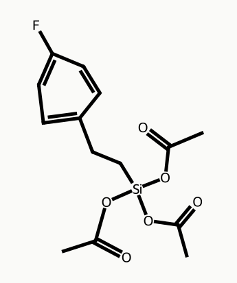 CC(=O)O[Si](CCc1ccc(F)cc1)(OC(C)=O)OC(C)=O